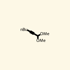 CCCCC#CC(OC)OC